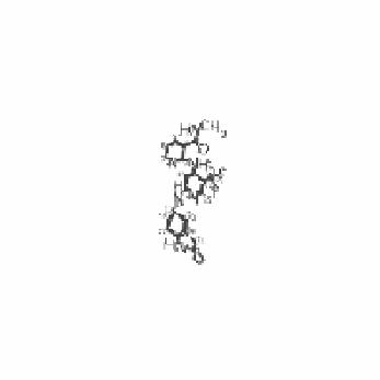 CNC(=O)c1cccnc1Nc1cc(Nc2ccc3c(c2)CC(=O)N3)ncc1C(F)(F)F